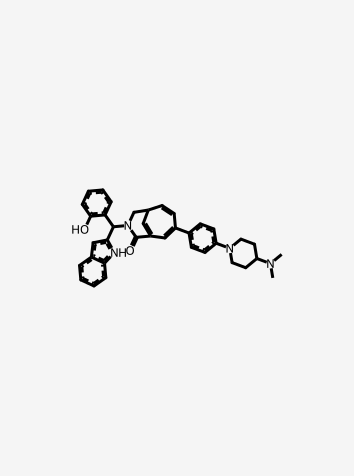 CN(C)C1CCN(c2ccc(C3=CC4=CC(C=C3)CN(C(c3cc5ccccc5[nH]3)c3ccccc3O)C4=O)cc2)CC1